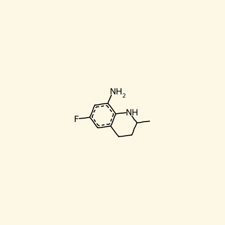 CC1CCc2cc(F)cc(N)c2N1